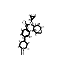 O=C(c1ccc(C2CCNCC2)cc1)N(C1CCOCC1)C1CC1